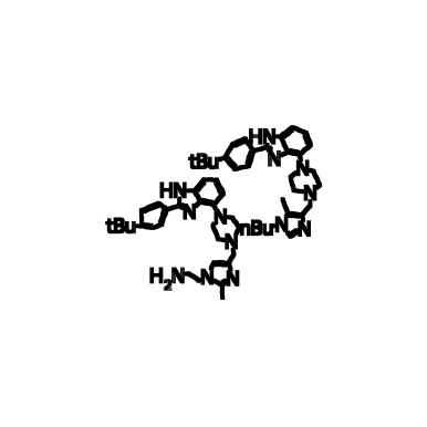 CCCCn1cnc(CN2CCN(c3cccc4[nH]c(-c5ccc(C(C)(C)C)cc5)nc34)CC2)c1C.Cc1nc(CN2CCN(c3cccc4[nH]c(-c5ccc(C(C)(C)C)cc5)nc34)CC2)cn1CCN